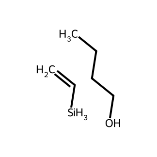 C=C[SiH3].CCCCO